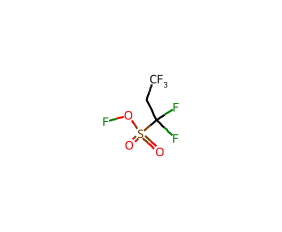 O=S(=O)(OF)C(F)(F)CC(F)(F)F